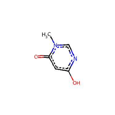 Cn1cnc(O)cc1=O